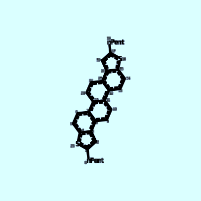 CCCCCc1cc2c(ccc3c2ccc2c4ccc5sc(CCCCC)cc5c4ccc32)s1